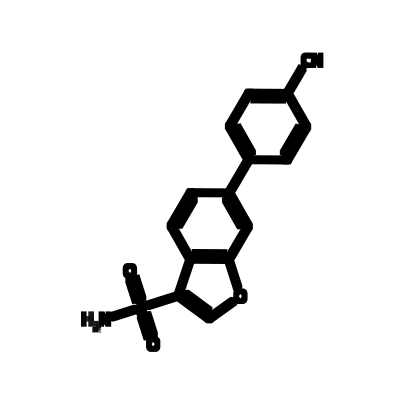 N#Cc1ccc(-c2ccc3c(S(N)(=O)=O)coc3c2)cc1